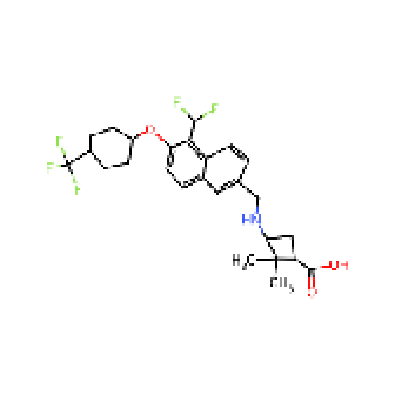 CC1(C)C(NCc2ccc3c(C(F)F)c(OC4CCC(C(F)(F)F)CC4)ccc3c2)CC1C(=O)O